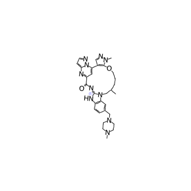 CC1CCCOc2c(cnn2C)-c2cc(nc3ccnn23)C(=O)/N=C2\Nc3ccc(CN4CCN(C)CC4)cc3N2C1